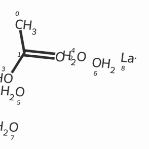 CC(=O)O.O.O.O.O.[La]